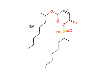 CCCCCCC(C)OC(=O)/C=C\C(=O)OS(=O)(=O)C(C)CCCCCC.[NaH]